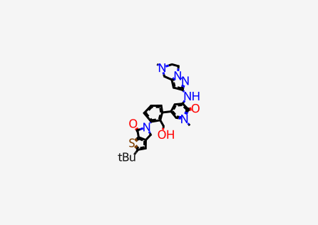 CN1CCn2nc(Nc3cc(-c4cccc(N5Cc6cc(C(C)(C)C)sc6C5=O)c4CO)cn(C)c3=O)cc2C1